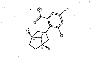 CN1[C@@H]2CC[C@H]1CC(c1c(Cl)cc(Cl)cc1C(=O)O)C2